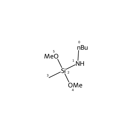 CCCCN[Si](C)(OC)OC